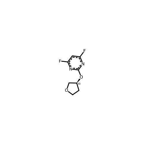 Fc1cc(F)nc(O[C@H]2CCOC2)n1